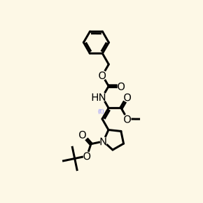 COC(=O)/C(=C\C1CCCN1C(=O)OC(C)(C)C)NC(=O)OCc1ccccc1